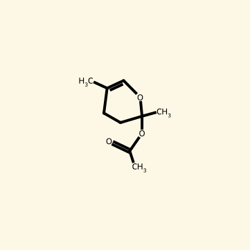 CC(=O)OC1(C)CCC(C)=CO1